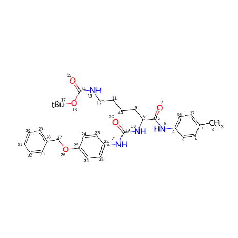 Cc1ccc(NC(=O)C(CCCCNC(=O)OC(C)(C)C)NC(=O)Nc2ccc(OCc3ccccc3)cc2)cc1